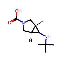 CC(C)(C)NC1[C@H]2CN(C(=O)O)C[C@@H]12